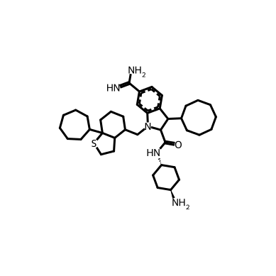 N=C(N)c1ccc2c(c1)N(CC1CCCC3(C4CCCCCC4)SCCC13)C(C(=O)N[C@H]1CC[C@H](N)CC1)C2C1CCCCCCC1